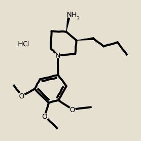 CCCC[C@H]1CN(c2cc(OC)c(OC)c(OC)c2)CC[C@H]1N.Cl